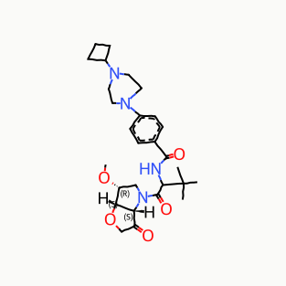 CO[C@@H]1CN(C(=O)C(NC(=O)c2ccc(N3CCN(C4CCC4)CC3)cc2)C(C)(C)C)[C@@H]2C(=O)CO[C@@H]21